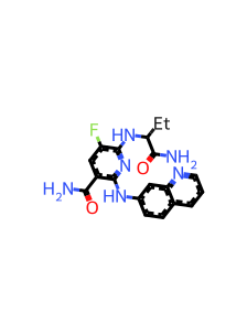 CCC(Nc1nc(Nc2ccc3cccnc3c2)c(C(N)=O)cc1F)C(N)=O